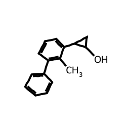 Cc1c(-c2ccccc2)cccc1C1CC1O